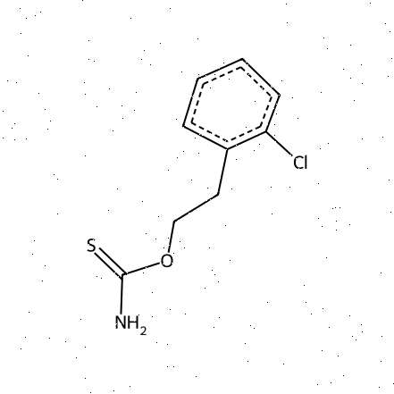 NC(=S)OCCc1ccccc1Cl